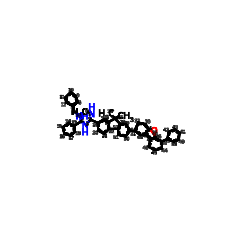 CNC(NC(NCc1ccccc1)c1ccccc1)c1ccc2c(c1)C(C)(C)c1cc(-c3ccc4oc5c(-c6ccccc6)cccc5c4c3)ccc1-2